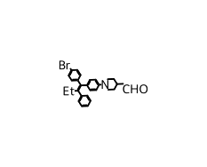 CC/C(=C(\c1ccc(Br)cc1)c1ccc(N2CCC(CC=O)CC2)cc1)c1ccccc1